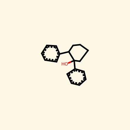 OC1(c2ccccc2)CCCCC1c1ccccc1